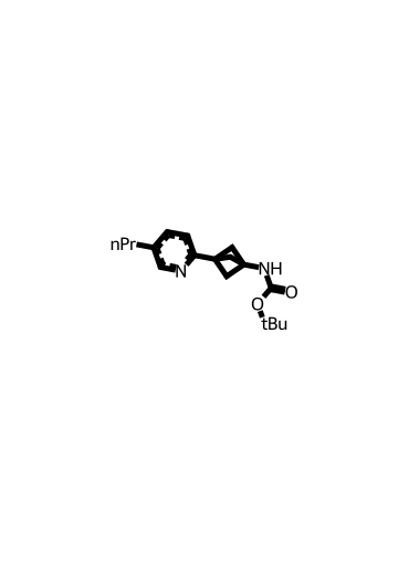 CCCc1ccc(C23CC(NC(=O)OC(C)(C)C)(C2)C3)nc1